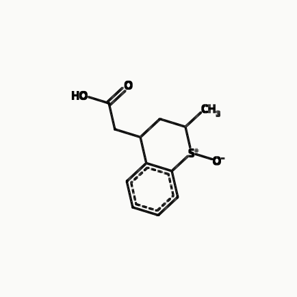 CC1CC(CC(=O)O)c2ccccc2[S+]1[O-]